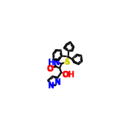 O=C1NC(SC(c2ccccc2)(c2ccccc2)c2ccccc2)C1C(O)c1ccncn1